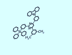 Cc1cc(C)cc(-c2cc(-c3cccc(-n4c5ccccc5c5ccccc54)c3)nc(-c3cccc([Si](c4ccccc4)(c4ccccc4)c4ccccc4)c3)n2)c1